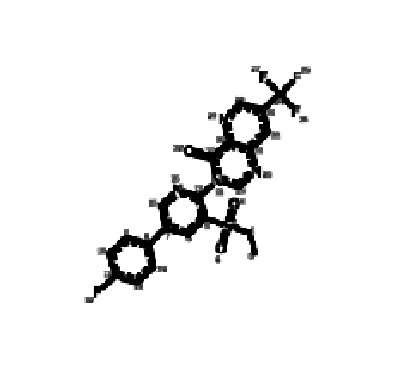 CCS(=O)(=O)c1cc(-c2ccc(F)cc2)cnc1-n1cnc2cc(C(F)(F)F)cnc2c1=O